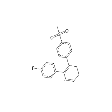 CS(=O)(=O)c1ccc(C2=C(c3ccc(F)cc3)[C]=CCC2)cc1